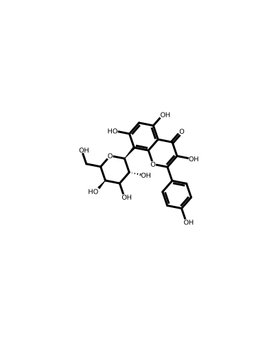 O=c1c(O)c(-c2ccc(O)cc2)oc2c([C@@H]3OC(CO)[C@H](O)C(O)[C@H]3O)c(O)cc(O)c12